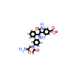 COC(=O)c1ccc2c(c1)NC(=O)/C2=C(/Nc1ccc(N(CC(N)=O)C(C)=O)cc1)c1ccccc1